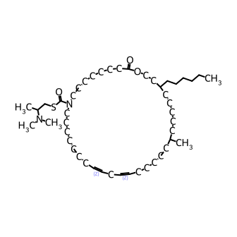 CCCCCCC1CCCCCC(C)CCCCC/C=C\C/C=C\CCCCCCCN(C(=O)SCC(C)N(C)C)CCCCCCCC(=O)OCC1